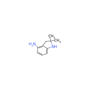 CC1(C)Cc2c(N)cccc2N1